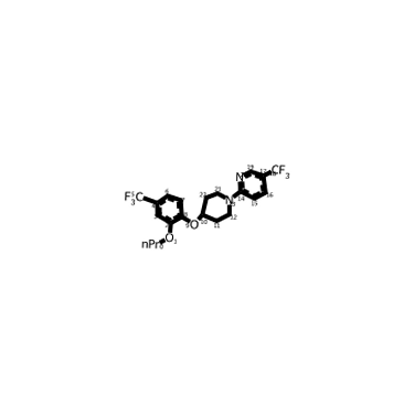 CCCOc1cc(C(F)(F)F)ccc1OC1CCN(c2ccc(C(F)(F)F)cn2)CC1